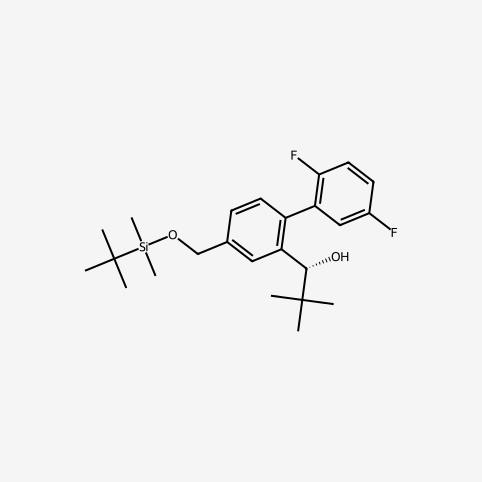 CC(C)(C)[C@@H](O)c1cc(CO[Si](C)(C)C(C)(C)C)ccc1-c1cc(F)ccc1F